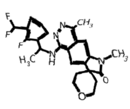 Cc1nnc(NC(C)c2cccc(C(F)F)c2F)c2cc3c(cc12)N(C)C(=O)C31CCOCC1